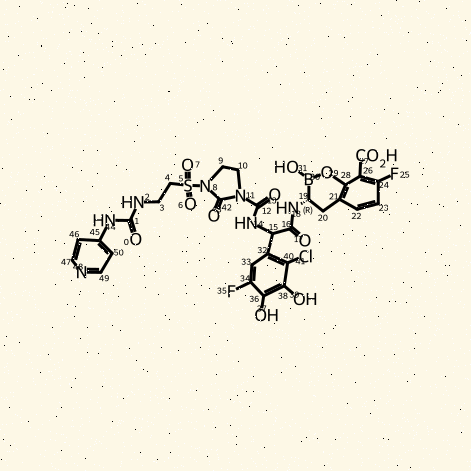 O=C(NCCS(=O)(=O)N1CCN(C(=O)NC(C(=O)N[C@H]2Cc3ccc(F)c(C(=O)O)c3OB2O)c2cc(F)c(O)c(O)c2Cl)C1=O)Nc1ccncc1